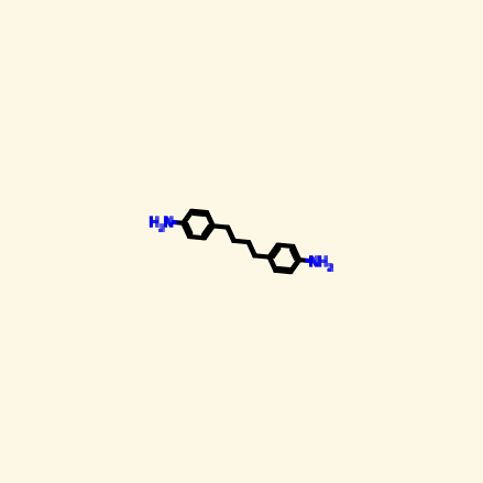 Nc1ccc(CCCCc2ccc(N)cc2)cc1